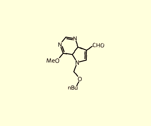 CCCCOCN1C=C(C=O)C2N=CN=C(OC)C21